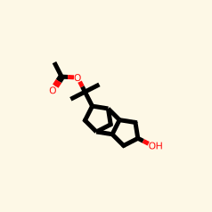 CC(=O)OC(C)(C)C1CC2CC1C1CC(O)CC21